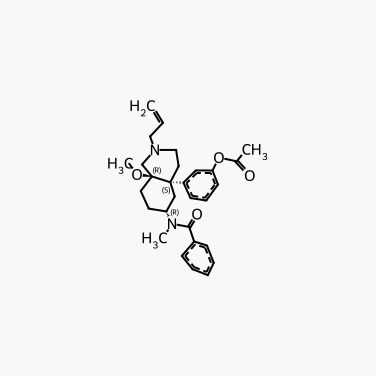 C=CCN1CC[C@@]2(c3cccc(OC(C)=O)c3)C[C@H](N(C)C(=O)c3ccccc3)CC[C@]2(OC)C1